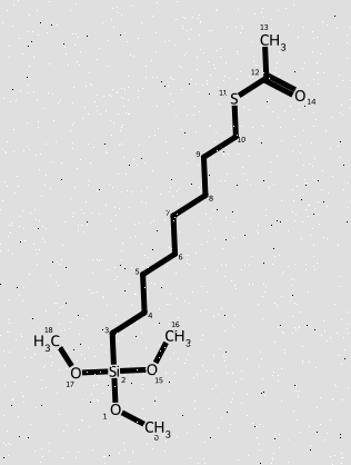 CO[Si](CCCCCCCCSC(C)=O)(OC)OC